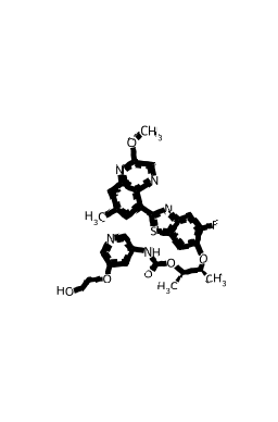 COc1cnc2c(-c3nc4cc(F)c(O[C@@H](C)[C@@H](C)OC(=O)Nc5cncc(OCCO)c5)cc4s3)cc(C)cc2n1